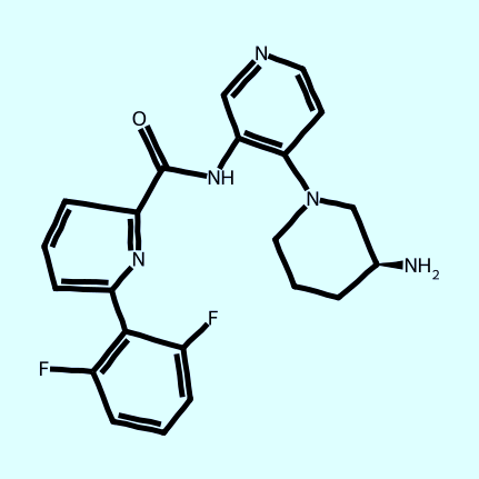 N[C@H]1CCCN(c2ccncc2NC(=O)c2cccc(-c3c(F)cccc3F)n2)C1